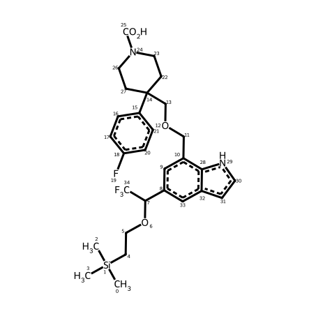 C[Si](C)(C)CCOC(c1cc(COCC2(c3ccc(F)cc3)CCN(C(=O)O)CC2)c2[nH]ccc2c1)C(F)(F)F